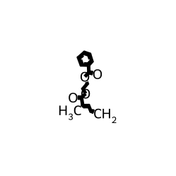 C=CC=C(C)C(=O)OCCOC(=O)c1ccccc1